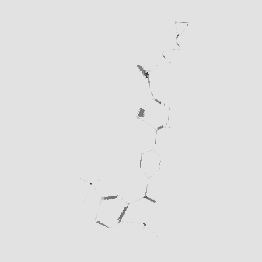 O=C(NCCC1CC1)c1ccc(N2CCN(C(=O)c3cc(C(F)(F)F)ccc3C(F)(F)F)CC2)nn1